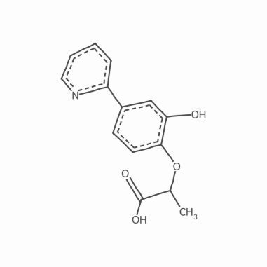 CC(Oc1ccc(-c2ccccn2)cc1O)C(=O)O